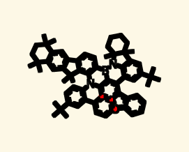 CC(C)(C)c1ccc(N2c3cc4oc5ccccc5c4c4c3B(c3ccc5c(c32)C(C)(C)c2cc3c(cc2-5)C(C)(C)CCC3(C)C)N2c3c-4cc(C(C)(C)C)cc3C3(C)CCCCC23C)c(-c2ccccc2)c1